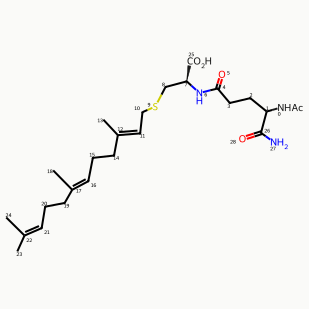 CC(=O)NC(CCC(=O)N[C@@H](CSC/C=C(\C)CC/C=C(\C)CCC=C(C)C)C(=O)O)C(N)=O